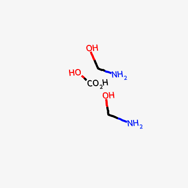 NCO.NCO.O=C(O)O